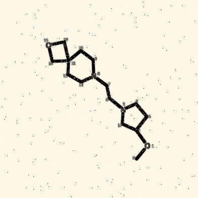 COC1CCN(CCN2CCC3(CC2)COC3)C1